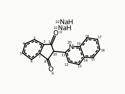 O=C1c2ccccc2C(=O)C1c1ccc2ccccc2n1.[NaH].[NaH]